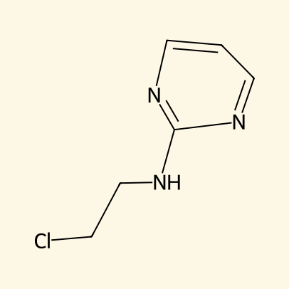 ClCCNc1ncccn1